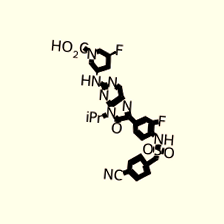 CC(C)n1c(=O)c(-c2ccc(NS(=O)(=O)Cc3ccc(C#N)cc3)c(F)c2)nc2cnc(N[C@H]3C[C@H](F)CN(C(=O)O)C3)nc21